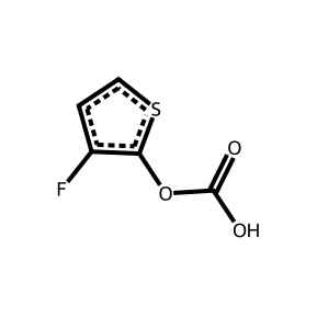 O=C(O)Oc1sccc1F